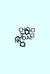 CC(=O)O[C@H](c1ccnn1-c1ccccc1)[C@@H](CC=O)c1ccc(Cl)c(Cl)c1